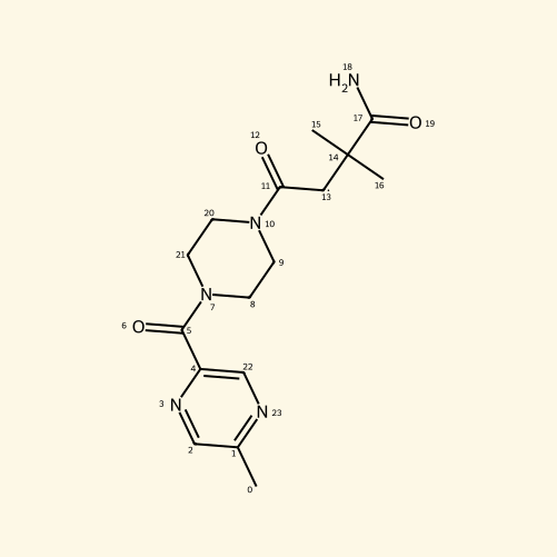 Cc1cnc(C(=O)N2CCN(C(=O)[CH]C(C)(C)C(N)=O)CC2)cn1